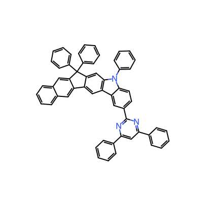 c1ccc(-c2cc(-c3ccccc3)nc(-c3ccc4c(c3)c3cc5c(cc3n4-c3ccccc3)C(c3ccccc3)(c3ccccc3)c3cc4ccccc4cc3-5)n2)cc1